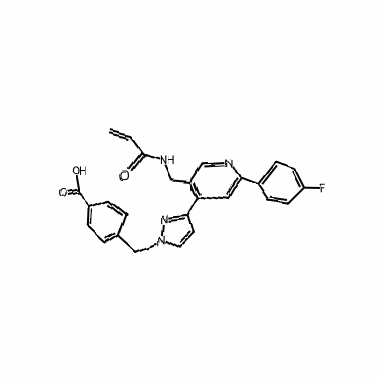 C=CC(=O)NCc1cnc(-c2ccc(F)cc2)cc1-c1ccn(Cc2ccc(C(=O)O)cc2)n1